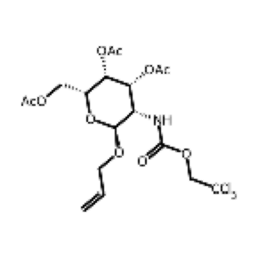 C=CCO[C@H]1O[C@H](COC(C)=O)[C@H](OC(C)=O)[C@H](OC(C)=O)[C@@H]1NC(=O)OCC(Cl)(Cl)Cl